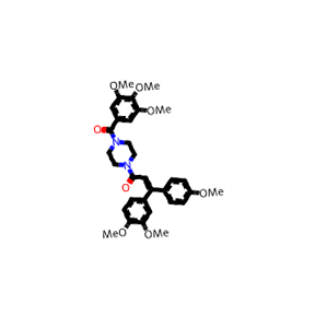 COc1ccc(C(=CC(=O)N2CCN(C(=O)c3cc(OC)c(OC)c(OC)c3)CC2)c2ccc(OC)c(OC)c2)cc1